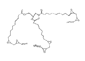 CCCCCC1OC1CC1OC1CCCCCCCCCC(=O)OCC(COC(=O)CCCCCCCCCC1OC1CC1OC1CCCCC)OC(=O)CCCCCCCC1OC1CC1OC1CCCCC